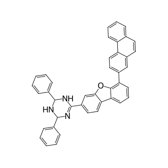 c1ccc(C2N=C(c3ccc4c(c3)oc3c(-c5ccc6c(ccc7ccccc76)c5)cccc34)NC(c3ccccc3)N2)cc1